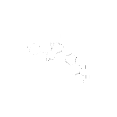 CNC(=O)Nc1ccc(-c2nc(Cl)nc3c2cnn3C2CCOCC2)cc1